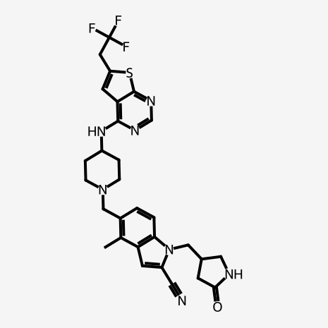 Cc1c(CN2CCC(Nc3ncnc4sc(CC(F)(F)F)cc34)CC2)ccc2c1cc(C#N)n2CC1CNC(=O)C1